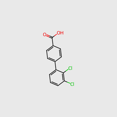 O=C(O)c1ccc(-c2cccc(Cl)c2Cl)cc1